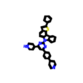 C1=CC(c2cc(-c3ccc(-c4ccncc4)cc3)nc(-n3c4ccccc4c4c5sc(-c6ccccc6)cc5ccc43)n2)=CCN1